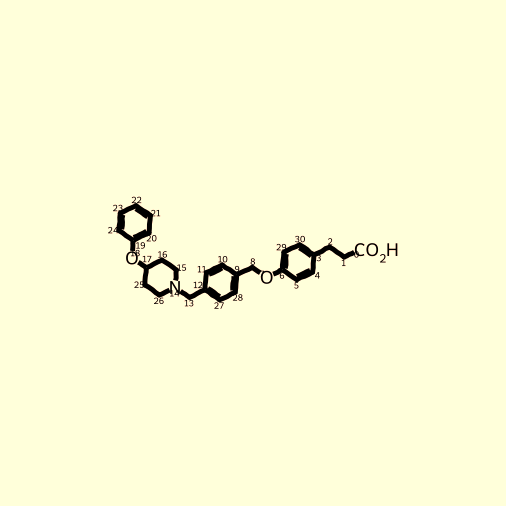 O=C(O)CCc1ccc(OCc2ccc(CN3CCC(Oc4ccccc4)CC3)cc2)cc1